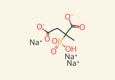 CC(CC(=O)[O-])(C(=O)[O-])P(=O)([O-])O.[Na+].[Na+].[Na+]